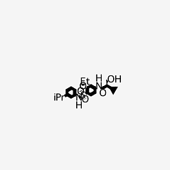 CCOc1cc(NC(=O)[C@@H](CO)C2CC2)ccc1S(=O)(=O)Nc1cccc(C(C)C)c1